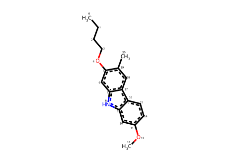 CCCCOc1cc2[nH]c3cc(OC)ccc3c2cc1C